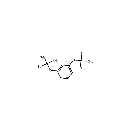 CCC(C)(C)Oc1[c]c(OC(C)(C)CC)ccc1